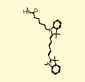 CNC(=O)CCCCCN1/C(=C/C=C/C=C/C2=[N+](C)c3ccccc3C2(C)C)C(C)(C)c2ccccc21